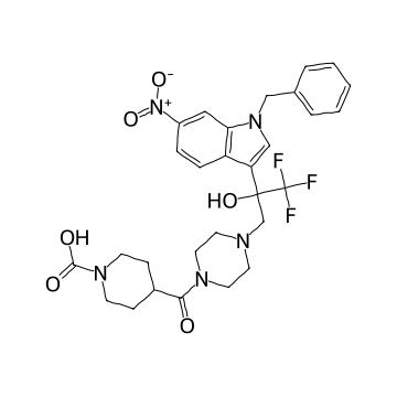 O=C(O)N1CCC(C(=O)N2CCN(CC(O)(c3cn(Cc4ccccc4)c4cc([N+](=O)[O-])ccc34)C(F)(F)F)CC2)CC1